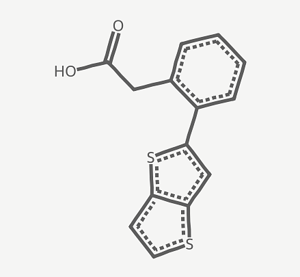 O=C(O)Cc1ccccc1-c1cc2sccc2s1